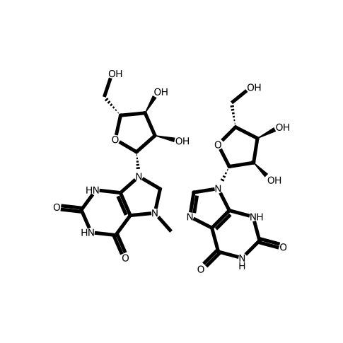 CN1CN([C@@H]2O[C@H](CO)[C@@H](O)[C@H]2O)c2[nH]c(=O)[nH]c(=O)c21.O=c1[nH]c(=O)c2ncn([C@@H]3O[C@H](CO)[C@@H](O)[C@H]3O)c2[nH]1